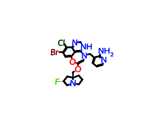 Nc1ncccc1CN1C=C(OC[C@@]23CCCN2C[C@H](F)C3)Oc2cc(Br)c(Cl)c3c2=C1NCN=3